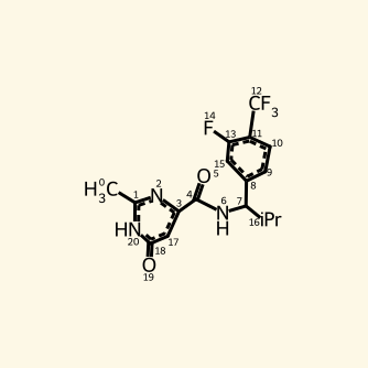 Cc1nc(C(=O)NC(c2ccc(C(F)(F)F)c(F)c2)C(C)C)cc(=O)[nH]1